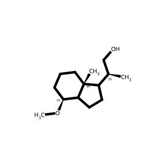 CO[C@H]1CCC[C@]2(C)C([C@H](C)CO)CCC12